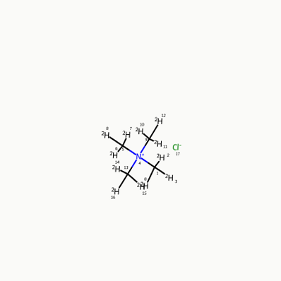 [2H]C([2H])([2H])[N+](C([2H])([2H])[2H])(C([2H])([2H])[2H])C([2H])([2H])[2H].[Cl-]